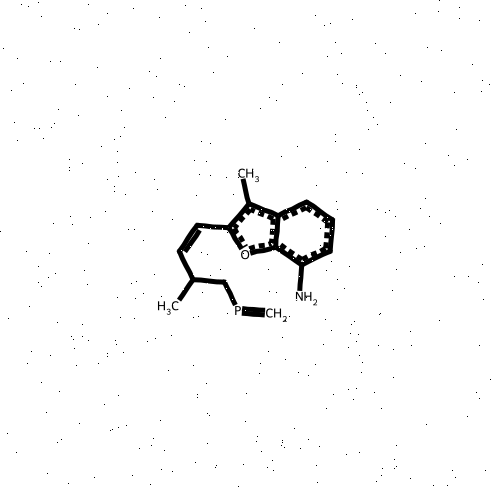 C=PCC(C)/C=C\c1oc2c(N)cccc2c1C